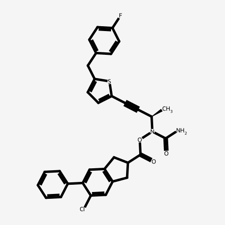 C[C@H](C#Cc1ccc(Cc2ccc(F)cc2)s1)N(OC(=O)C1Cc2cc(Cl)c(-c3ccccc3)cc2C1)C(N)=O